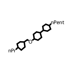 CCCCCC1CCC(C2CCC(OCC3CCC(CCC)CC3)CC2)CC1